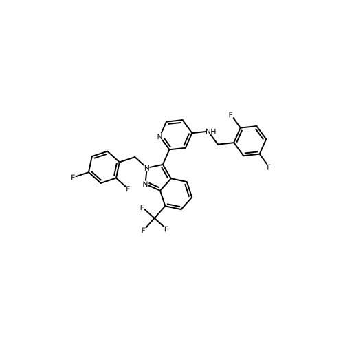 Fc1ccc(Cn2nc3c(C(F)(F)F)cccc3c2-c2cc(NCc3cc(F)ccc3F)ccn2)c(F)c1